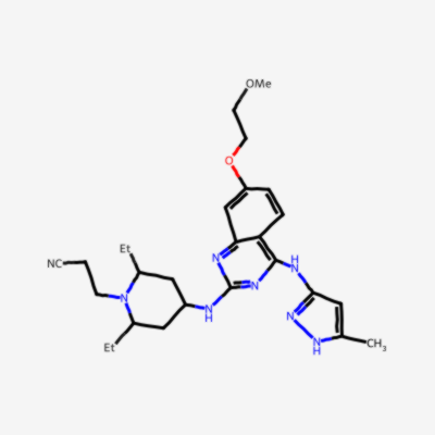 CCC1CC(Nc2nc(Nc3cc(C)[nH]n3)c3ccc(OCCOC)cc3n2)CC(CC)N1CCC#N